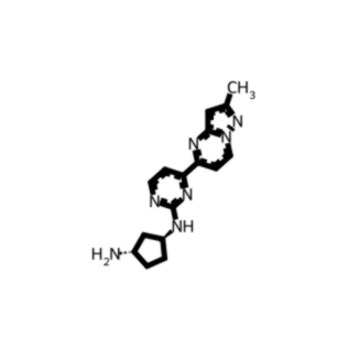 Cc1cc2nc(-c3ccnc(N[C@H]4CC[C@H](N)C4)n3)ccn2n1